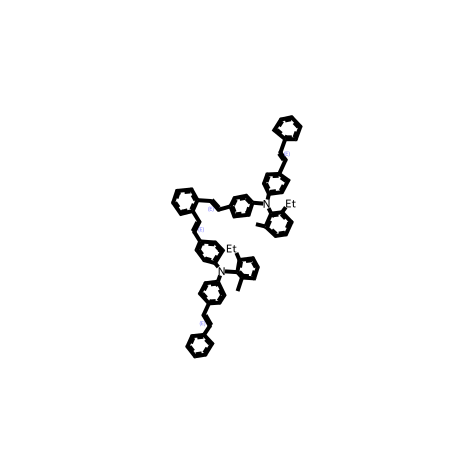 CCc1cccc(C)c1N(c1ccc(/C=C/c2ccccc2)cc1)c1ccc(/C=C/c2ccccc2/C=C/c2ccc(N(c3ccc(/C=C/c4ccccc4)cc3)c3c(C)cccc3CC)cc2)cc1